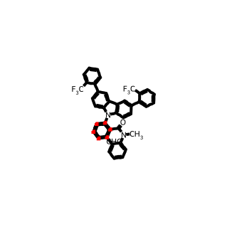 CN(C(=O)c1c(C=O)cccc1-n1c2ccc(-c3ccccc3C(F)(F)F)cc2c2cc(-c3ccccc3C(F)(F)F)ccc21)c1ccccc1-c1ccccc1